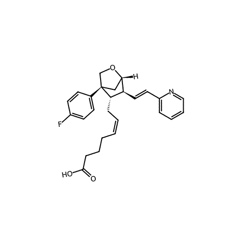 O=C(O)CCC/C=C\C[C@H]1[C@H](C=Cc2ccccn2)[C@@H]2C[C@@]1(c1ccc(F)cc1)CO2